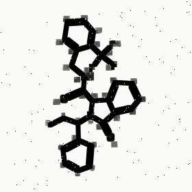 CCC(c1ccccc1)N1C(=O)c2ccccc2C1C(=O)NCc1ccccc1C(F)(F)F